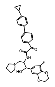 O=C(NC(CN1CCCC1)C(O)c1cc(F)c2c(c1)OCCO2)C(=O)c1ccc(-c2ccc(C3CC3)cc2)cc1